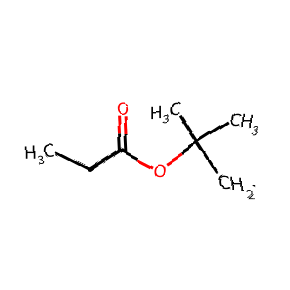 [CH2]C(C)(C)OC(=O)CC